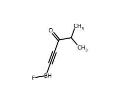 CC(C)C(=O)C#CBF